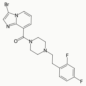 O=C(c1cccn2c(Br)cnc12)N1CCN(CCc2ccc(F)cc2F)CC1